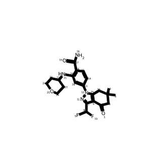 CC1(C)CC(=O)c2c(C(F)F)nn(-c3ccc(C(N)=O)c(NC4CCOCC4)c3)c2C1